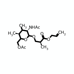 C=CCOC(=O)[C@@H](C)COC1OC(COC(C)=O)[C@@H](C)C(C)[C@@H]1NC(C)=O